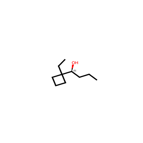 CCC[C@H](O)C1(CC)CCC1